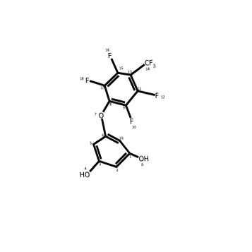 Oc1cc(O)cc(Oc2c(F)c(F)c(C(F)(F)F)c(F)c2F)c1